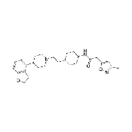 Cc1cc(CC(=O)NC2CCC(CCN3CCC(c4cccc5c4CCO5)CC3)CC2)on1